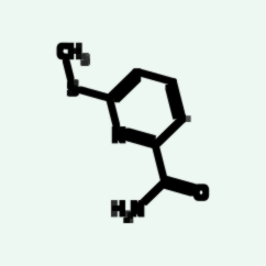 CSc1cc[c]c(C(N)=O)n1